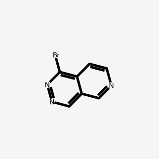 Brc1nncc2cnccc12